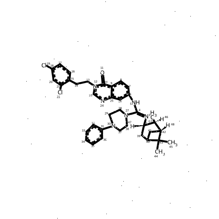 C[C@@H]1[C@@H](/N=C(/Nc2ccc3c(=O)n(CCc4ccc(Cl)cc4Cl)cnc3c2)N2CCN(c3ccccc3)CC2)CC2C[C@H]1C2(C)C